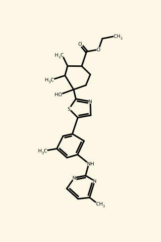 CCOC(=O)C1CCC(O)(c2ncc(-c3cc(C)cc(Nc4nccc(C)n4)c3)s2)C(C)C1C